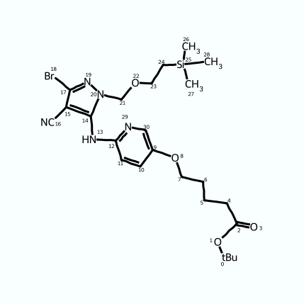 CC(C)(C)OC(=O)CCCCOc1ccc(Nc2c(C#N)c(Br)nn2COCC[Si](C)(C)C)nc1